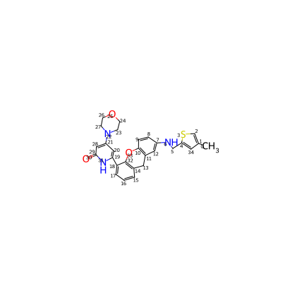 Cc1csc(CNc2ccc3c(c2)Cc2cccc(-c4cc(N5CCOCC5)cc(=O)[nH]4)c2O3)c1